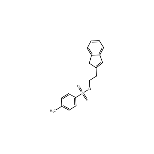 Cc1ccc(S(=O)(=O)OCCC2=Cc3ccccc3C2)cc1